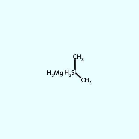 C[SiH2]C.[MgH2]